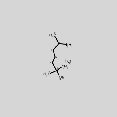 CC(N)CCCC(C)(C)O.Cl